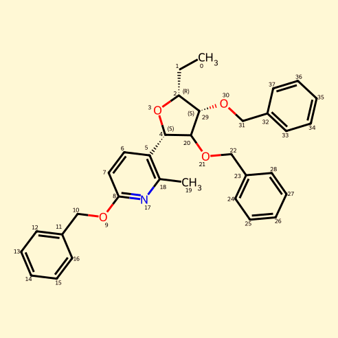 CC[C@H]1O[C@@H](c2ccc(OCc3ccccc3)nc2C)C(OCc2ccccc2)[C@H]1OCc1ccccc1